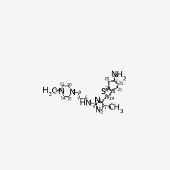 Cc1cnc(NCCCN2CCN(C)CC2)nc1-c1cc2ccc(N)cc2s1